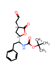 CC(C)(C)OC(=O)NC(Cc1ccccc1)[C@@H]1C[C@@H](CC=O)C(=O)O1